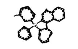 Cc1cccc([Si]2(c3ccccc3)c3ccccc3-c3c2ccc2ccccc32)c1